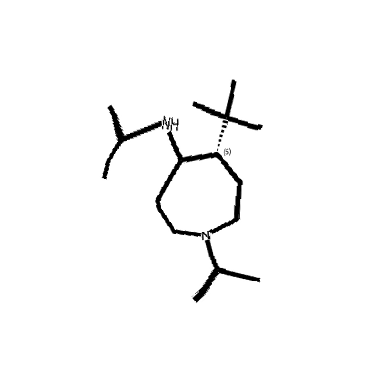 CC(C)NC1CCN(C(C)C)CC[C@H]1C(C)(C)C